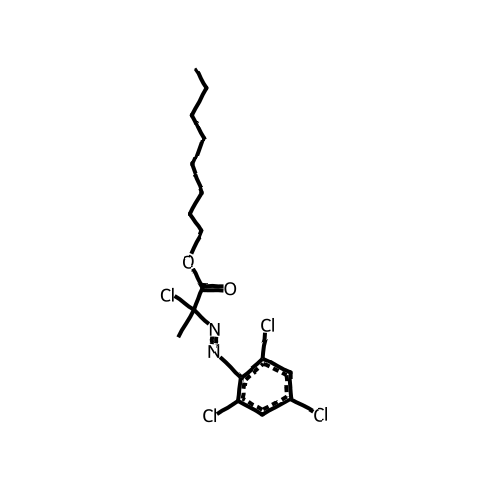 CCCCCCCCOC(=O)C(C)(Cl)N=Nc1c(Cl)cc(Cl)cc1Cl